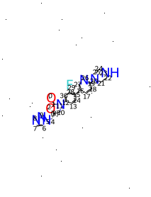 O=C1O[C@@H](Cn2ccnn2)CN1c1ccc(-c2ccc(N3CCNCC3)nc2)c(F)c1